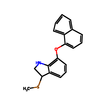 CSC1CNc2c(Oc3cccc4ccccc34)cccc21